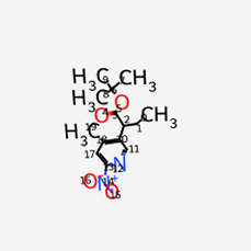 CCC(C(=O)OC(C)(C)C)c1cnc([N+](=O)[O-])cc1C